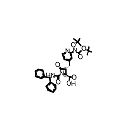 CC(C)(C)OC(=O)N(OC(C)(C)C)c1cc(C[C@H]2C(=O)N(C(=O)NC(c3ccccc3)c3ccccc3)[C@@H]2C(=O)O)ccn1